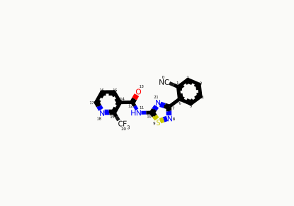 N#Cc1ccccc1-c1nsc(NC(=O)c2cccnc2C(F)(F)F)n1